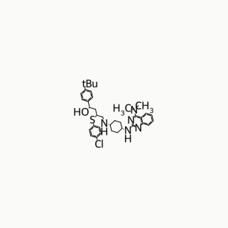 CN(C)c1nc(N[C@H]2CC[C@@H](NCC(CC(O)c3ccc(C(C)(C)C)cc3)Sc3ccc(Cl)cc3)CC2)nc2ccccc12